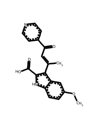 COc1ccc2[nH]c(C(=O)O)c(/C(C)=C/C(=O)c3ccncc3)c2c1